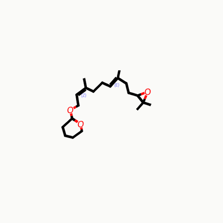 C/C(=C/COC1CCCCO1)CC/C=C(\C)CCC1OC1(C)C